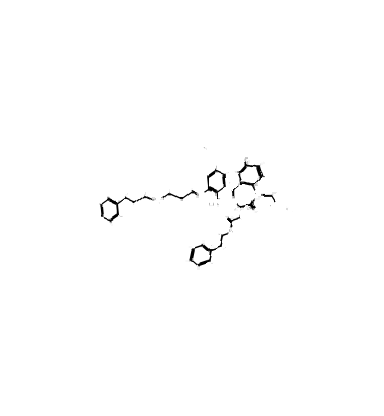 COc1c(OCCCNCCCc2ccccc2)cccc1[C@H]1O[C@H](CC(=O)NCCc2ccccc2)C(=O)N(CC(C)(C)C)c2ccc(Cl)cc21.Cl